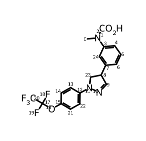 CN(C(=O)O)c1cccc(C2C=NN(c3ccc(OC(F)(F)C(F)(F)F)cc3)C2)c1